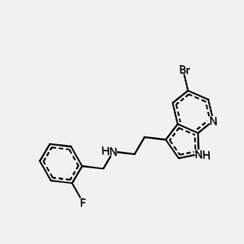 Fc1ccccc1CNCCc1c[nH]c2ncc(Br)cc12